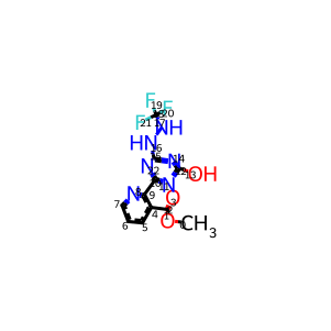 COC(=O)c1cccnc1-c1nc(O)nc(NNC(F)(F)F)n1